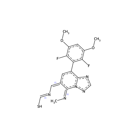 C\N=c1/c(=C\N=C\S)cc(-c2c(F)c(OC)cc(OC)c2F)c2ncnn12